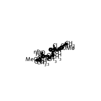 CCCC(=O)Nc1cc(COC(=O)N(C)CCN(C)C(=O)Cc2cc3c(c4ccccc24)[C@H](CCl)CN3C(=O)C2Cc3cc(OCCN(C)C)c(OC)cc3N2)ccc1O[C@H]1O[C@H](C(=O)OC)[C@@H](C)[C@H](C)[C@H]1OC(C)=O